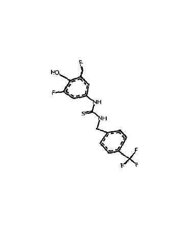 Oc1c(F)cc(NC(=S)NCc2ccc(C(F)(F)F)cc2)cc1F